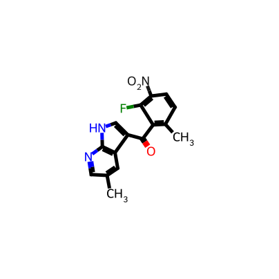 Cc1cnc2[nH]cc(C(=O)c3c(C)ccc([N+](=O)[O-])c3F)c2c1